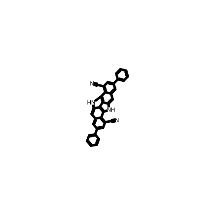 N#Cc1cc(-c2ccccc2)cc2cc3[nH]c4c5c(C#N)cc(-c6ccccc6)cc5cc5[nH]c(c12)c3c54